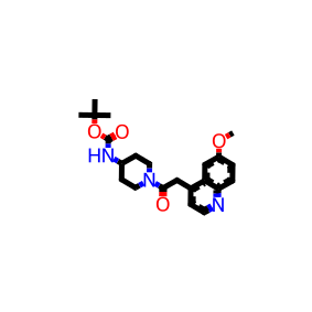 COc1ccc2nccc(CC(=O)N3CCC(NC(=O)OC(C)(C)C)CC3)c2c1